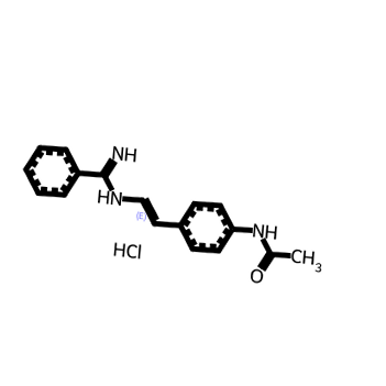 CC(=O)Nc1ccc(/C=C/NC(=N)c2ccccc2)cc1.Cl